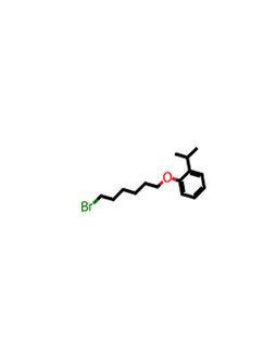 CC(C)c1ccccc1OCCCCCCBr